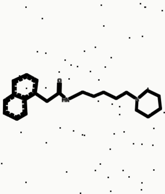 O=C(Cc1cccc2ccccc12)NCCCCCN1CCCCC1